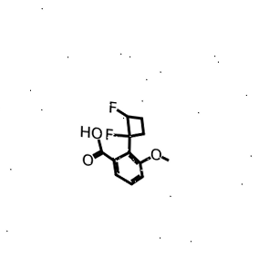 COc1cccc(C(=O)O)c1C1(F)CCC1F